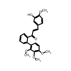 COc1ccc(C=CC(=O)c2ccccc2-c2ccc(OC)c(OC)c2OC)cc1O